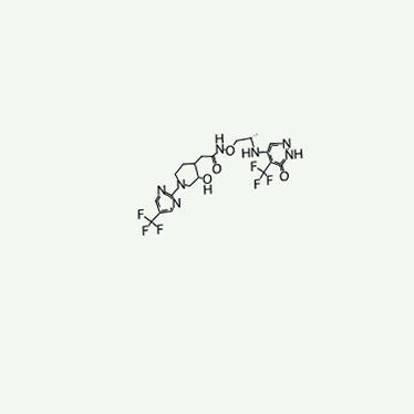 C[C@@H](CONC(=O)CC1CCN(c2ncc(C(F)(F)F)cn2)CC1O)Nc1cn[nH]c(=O)c1C(F)(F)F